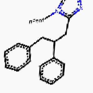 CCCCCn1ccnc1CC(Cc1ccccc1)c1ccccc1